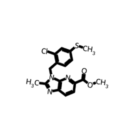 COC(=O)c1ccc2nc(C)n(Cc3ccc(SC)cc3Cl)c2n1